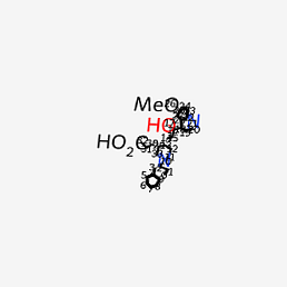 C=C[C@H](Cc1ccccc1)N1CC[C@@H](CC[C@@H](O)c2ccnc3ccc(OC)cc23)[C@@H](CCC(=O)O)C1